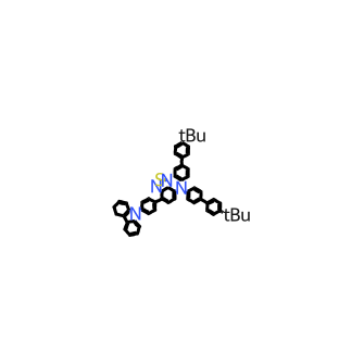 CC(C)(C)c1ccc(-c2ccc(N(c3ccc(-c4ccc(C(C)(C)C)cc4)cc3)c3ccc(-c4ccc(-n5c6c(c7ccccc75)CCC=C6)cc4)c4nsnc34)cc2)cc1